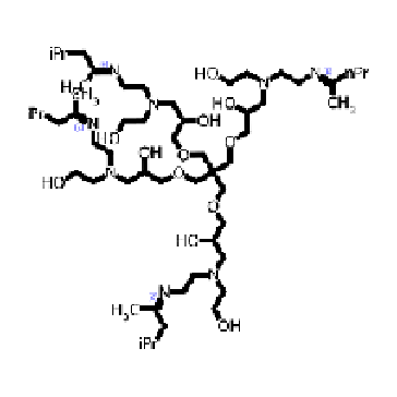 CCC/C(C)=N/CCN(CCO)CC(O)COCC(COCC(O)CN(CCO)CC/N=C(/C)CC(C)C)(COCC(O)CN(CCO)CC/N=C(/C)CC(C)C)COCC(O)CN(CCO)CC/N=C(\C)CC(C)C